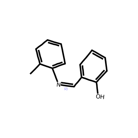 Cc1ccccc1/N=C\c1ccccc1O